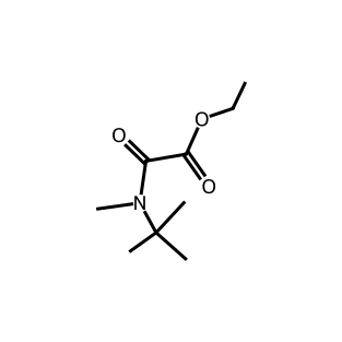 CCOC(=O)C(=O)N(C)C(C)(C)C